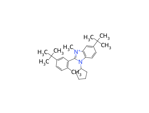 Cc1ccc(C(C)(C)C)cc1-c1n(C2CCCC2)c2ccc(C(C)(C)C)cc2[n+]1C